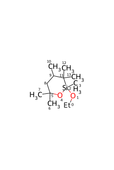 CCO[Si]1(C)OC(C)(C)CC(C)C1(C)C